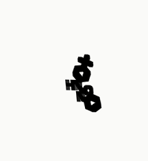 CC(C)(C)c1ccc(Nc2nc3ccccc3o2)cc1